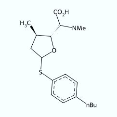 CCCCc1ccc(SC2C[C@@H](C)[C@H](C(NC)C(=O)O)O2)cc1